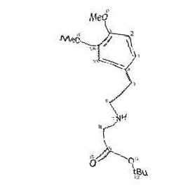 COc1ccc(CCNCC(=O)OC(C)(C)C)cc1OC